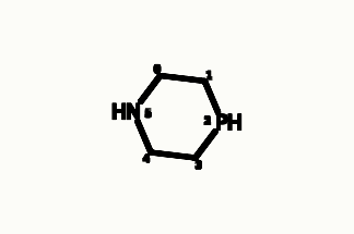 C1CPCCN1